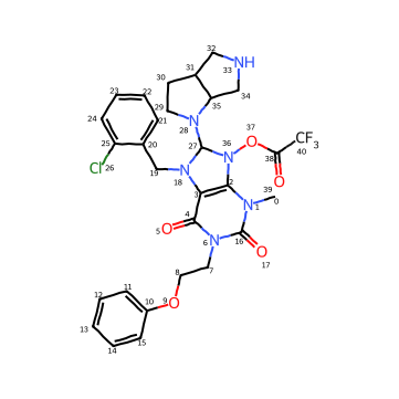 Cn1c2c(c(=O)n(CCOc3ccccc3)c1=O)N(Cc1ccccc1Cl)C(N1CCC3CNCC31)N2OC(=O)C(F)(F)F